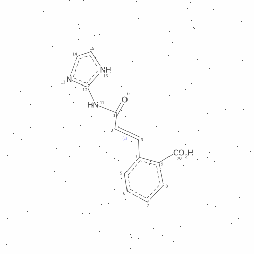 O=C(/C=C/c1ccccc1C(=O)O)Nc1ncc[nH]1